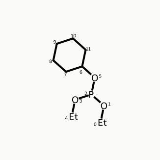 CCOP(OCC)OC1CCCCC1